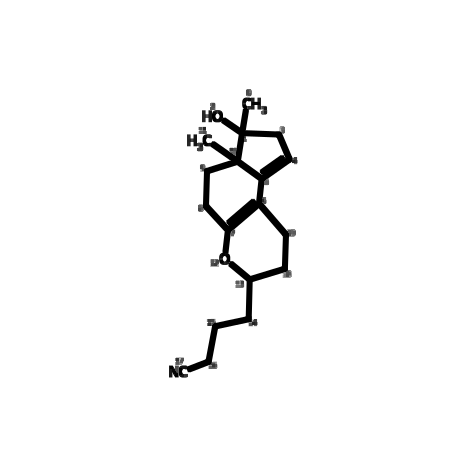 CC1(O)CC=C2C3=C(CCC21C)OC(CCCC#N)CC3